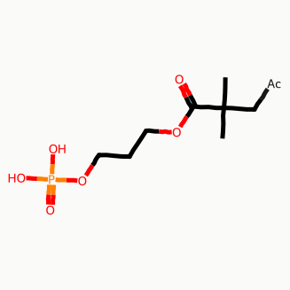 CC(=O)CC(C)(C)C(=O)OCCCOP(=O)(O)O